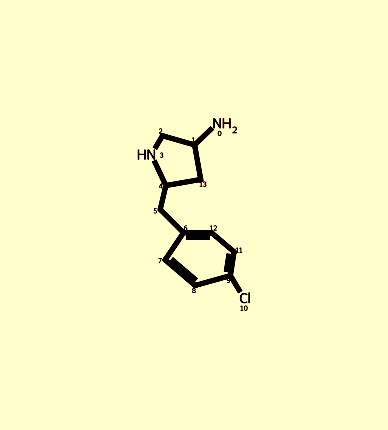 NC1CNC(Cc2ccc(Cl)cc2)C1